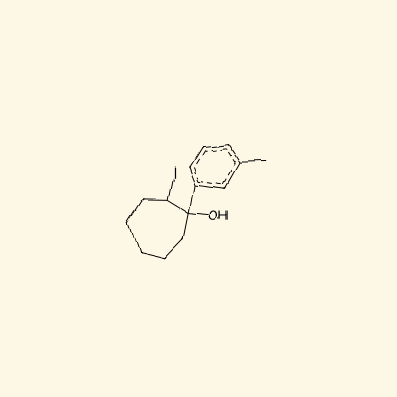 Cc1cccc(C2(O)CCCCCC2I)c1